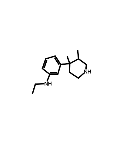 CCNc1cccc(C2(C)CCNCC2C)c1